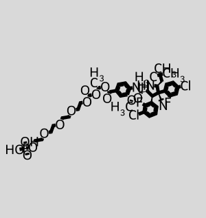 COc1cc(C(=O)OC(C)OC(=O)OCCOCCOCCOCCOP(=O)(O)O)ccc1NC(=O)[C@@H]1N[C@@H](CC(C)(C)C)[C@](C#N)(c2ccc(Cl)cc2F)[C@H]1c1cccc(Cl)c1F